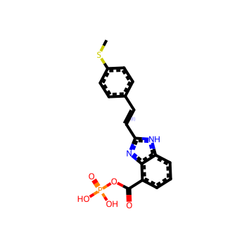 CSc1ccc(/C=C/c2nc3c(C(=O)OP(=O)(O)O)cccc3[nH]2)cc1